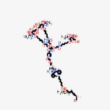 CN/C1=C(\N(N)CCOCCOCC(=O)N2CCC(C(=O)NC(COCCC(=O)NCCCCCCOC3OC(CO)C(O)C(O)C3NC(C)=O)(COCCC(=O)NCCCCCCOC3OC(CO)C(O)C(O)C3NC(C)=O)COCCC(=O)NCCCCCCOC3OC(CO)C(O)C(O)C3NC(C)=O)CC2)c2ccccc2CN(CCCCCCCO[PH](OC#CCC2CC2C#CC2BC2C=O)=C(C)C)c2ccccc21